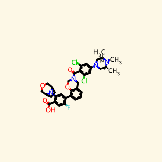 C[C@@H]1CN(c2cc(Cl)c(C(=O)N3COc4c(cccc4-c4cc(N5C6CCC5COC6)c(C(=O)O)cc4F)C3)c(Cl)c2)C[C@H](C)N1C